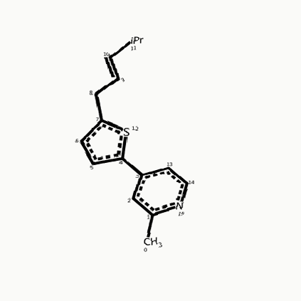 Cc1cc(-c2ccc(CC=CC(C)C)s2)ccn1